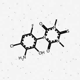 Cn1c(=S)n(C)c(=O)n(-c2c(F)cc(Cl)c(N)c2O)c1=O